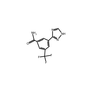 NC(=O)c1cc(-c2nc[nH]n2)cc(C(F)(F)F)c1